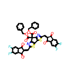 O=C1C(=Cc2nc3c(s2)-c2sc(C=C4C(=O)c5cc(F)c(F)cc5C4=O)nc2C3(C(=O)OCc2ccccc2)C(=O)OCc2ccccc2)C(=O)c2cc(F)c(F)cc21